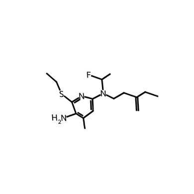 C=C(CC)CCN(c1cc(C)c(N)c(SCC)n1)C(C)F